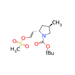 C[C@@H]1C[C@@H](/C=C/OS(C)(=O)=O)N(C(=O)OC(C)(C)C)C1